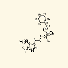 CCn1ncc(CCCN(C)C(=O)OCc2ccccc2)c1N